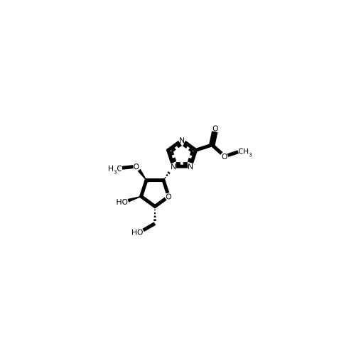 COC(=O)c1ncn([C@@H]2O[C@H](CO)[C@@H](O)[C@H]2OC)n1